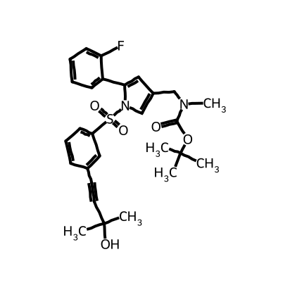 CN(Cc1cc(-c2ccccc2F)n(S(=O)(=O)c2cccc(C#CC(C)(C)O)c2)c1)C(=O)OC(C)(C)C